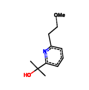 COCCc1cccc(C(C)(C)O)n1